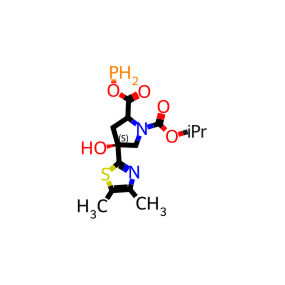 Cc1nc([C@]2(O)CC(C(=O)OP)N(C(=O)OC(C)C)C2)sc1C